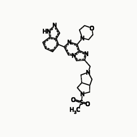 CS(=O)(=O)N1CC2CN(Cc3cn4cc(-c5cccc6[nH]ncc56)nc(N5CCOCC5)c4n3)CC2C1